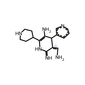 N=C1NC(C2CCNCC2)=C(N)C(c2cccnc2)/C1=C/N